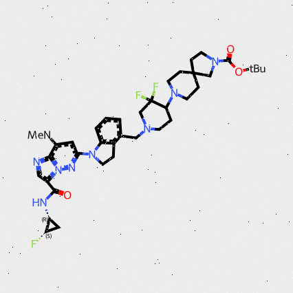 CNc1cc(N2CCc3c(CN4CCC(N5CCC6(CCN(C(=O)OC(C)(C)C)C6)CC5)C(F)(F)C4)cccc32)nn2c(C(=O)N[C@@H]3C[C@@H]3F)cnc12